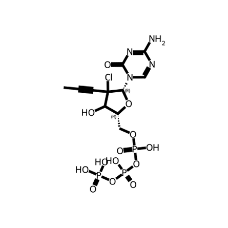 CC#CC1(Cl)C(O)[C@@H](COP(=O)(O)OP(=O)(O)OP(=O)(O)O)O[C@H]1n1cnc(N)nc1=O